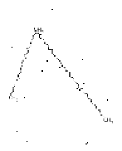 [CH2]C(CCCCCCCCCCCCCCCCCCCC)CCCCCCCCCCCCCCCCCCCCCCCCCCCCCCCC